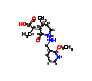 COc1ncccc1CNn1ccc(C)c(C(C)C(=O)O)c1=O